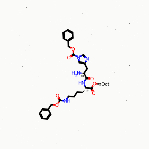 CCCCCCCCOC(=O)[C@H](CCCCNC(=O)OCc1ccccc1)NC(=O)[C@@H](N)Cc1cn(C(=O)OCc2ccccc2)cn1